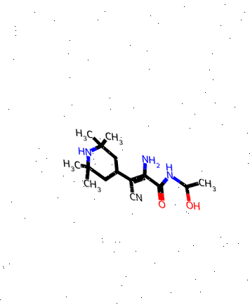 CC(O)NC(=O)C(N)=C(C#N)C1CC(C)(C)NC(C)(C)C1